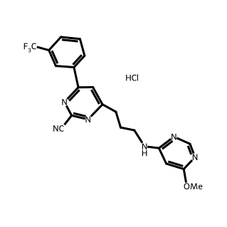 COc1cc(NCCCc2cc(-c3cccc(C(F)(F)F)c3)nc(C#N)n2)ncn1.Cl